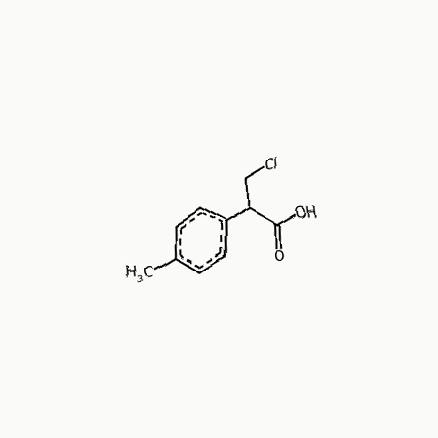 Cc1ccc(C(CCl)C(=O)O)cc1